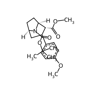 COC(=O)[C@@H]1C(c2ccc(OC)cc2)C[C@H]2CC[C@@H]1N2C(=O)OC(C)(C)C